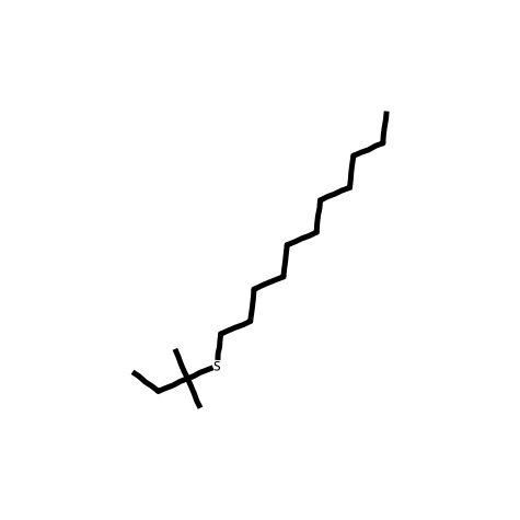 CCCCCCCCCCCSC(C)(C)CC